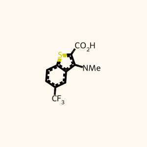 CNc1c(C(=O)O)sc2ccc(C(F)(F)F)cc12